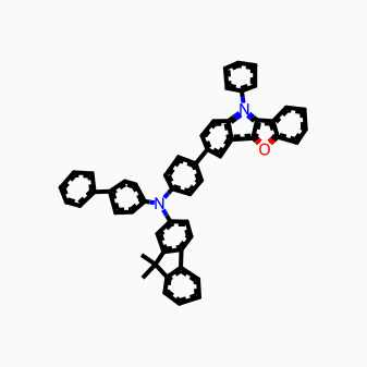 CC1(C)c2ccccc2-c2ccc(N(c3ccc(-c4ccccc4)cc3)c3ccc(-c4ccc5c(c4)c4oc6ccccc6c4n5-c4ccccc4)cc3)cc21